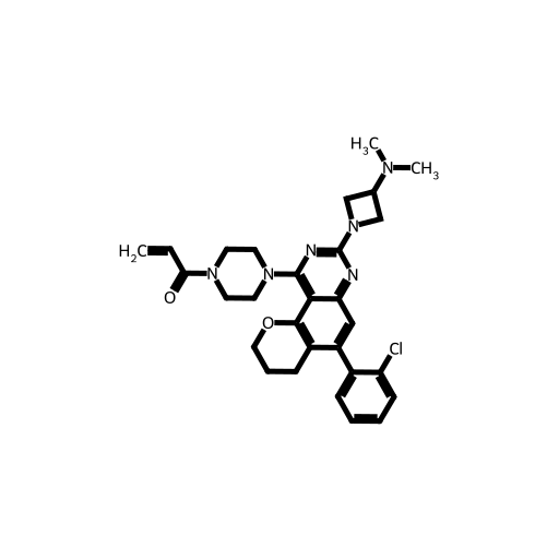 C=CC(=O)N1CCN(c2nc(N3CC(N(C)C)C3)nc3cc(-c4ccccc4Cl)c4c(c23)OCCC4)CC1